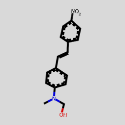 CN(CO)c1ccc(/C=C/c2ccc([N+](=O)[O-])cc2)cc1